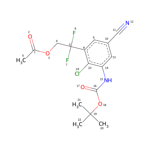 CC(=O)OCC(F)(F)c1cc(C#N)cc(NC(=O)OC(C)(C)C)c1Cl